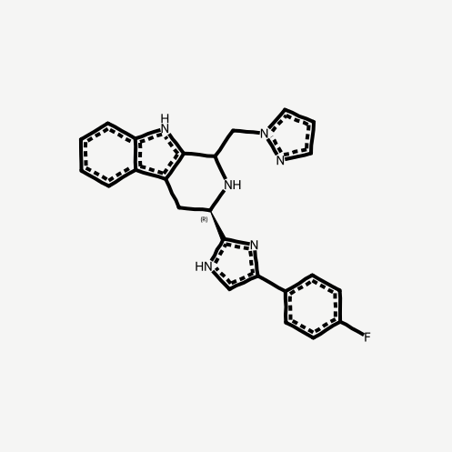 Fc1ccc(-c2c[nH]c([C@H]3Cc4c([nH]c5ccccc45)C(Cn4cccn4)N3)n2)cc1